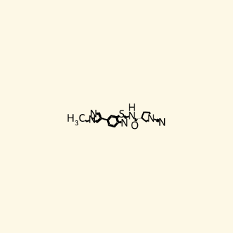 CCn1cc(-c2ccc3nc(NC(=O)[C@@H]4CCN(C#N)C4)sc3c2)cn1